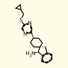 N[C@@H]1c2ccccc2C[C@]12CC[C@H](c1cnc(SCC3CC3)cn1)CC2